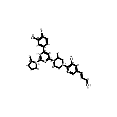 CC1CN(c2ncc(/C=C/CO)cc2Cl)CCN1c1cc(-c2ccc(F)c(Cl)c2)nc(N2CCCC2C)n1